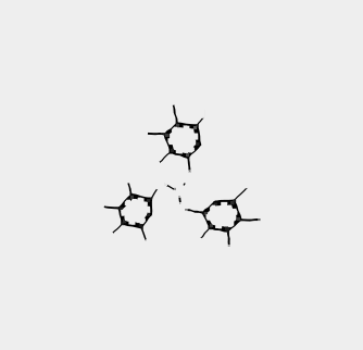 Fc1cc(OB(Oc2cc(F)c(F)c(F)c2F)Oc2cc(F)c(F)c(F)c2F)c(F)c(F)c1F